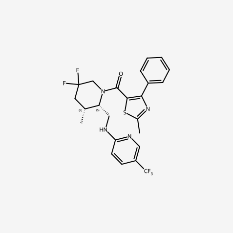 Cc1nc(-c2ccccc2)c(C(=O)N2CC(F)(F)C[C@@H](C)[C@H]2CNc2ccc(C(F)(F)F)cn2)s1